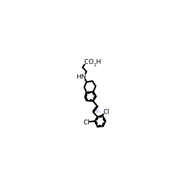 O=C(O)CCNC1CCc2cc(/C=C/c3c(Cl)cccc3Cl)ccc2C1